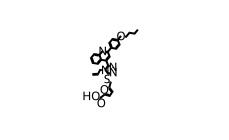 C=CCn1c(SCc2ccc(C(=O)O)o2)nnc1-c1cc(-c2ccc(OCCCC)cc2)nc2ccccc12